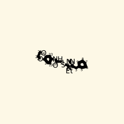 CCn1c(Cc2ccccc2)nnc1SCC(=O)Nc1ccc2c(c1)OCCO2